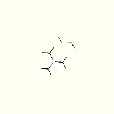 CC(C)N(C(C)C)C(C)C.OCCO